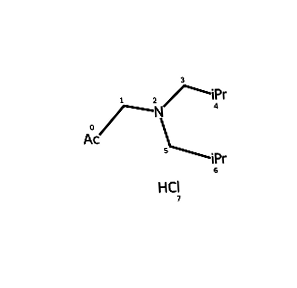 CC(=O)CN(CC(C)C)CC(C)C.Cl